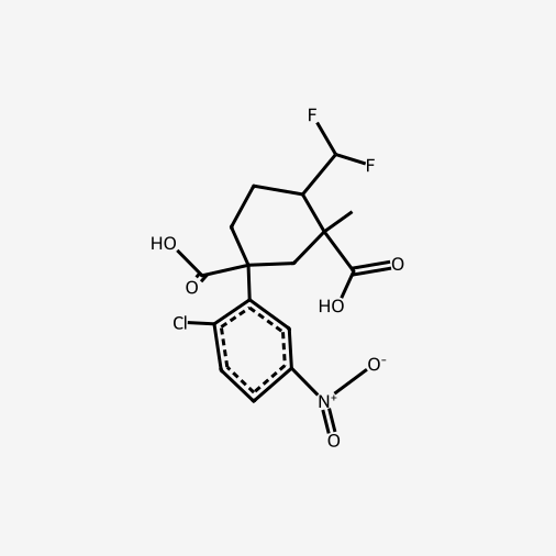 CC1(C(=O)O)CC(C(=O)O)(c2cc([N+](=O)[O-])ccc2Cl)CCC1C(F)F